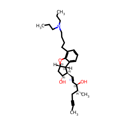 CC#CC[C@@H](C)[C@H](O)/C=C/[C@@H]1[C@H]2c3cccc(CCCCN(CCC)CCC)c3O[C@H]2C[C@H]1O